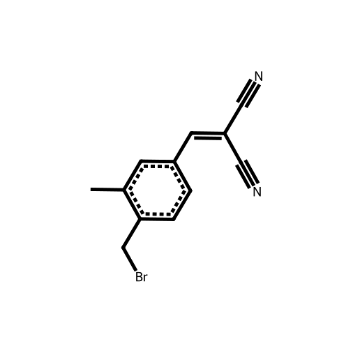 Cc1cc(C=C(C#N)C#N)ccc1CBr